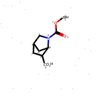 CC(C)(C)OC(=O)N1CC2CC(C(=O)O)C1C2